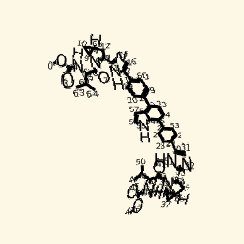 COC(=O)N[C@H](C(=O)N1C2C[C@@H]2C[C@H]1c1ncc(-c2ccc(-c3ccc(-c4ccc(-c5cnc([C@@H]6C[C@H]7C[C@H]7N6C(=O)[C@@H](NC(=O)OC)C(C)C)[nH]5)cc4)c4[nH]ccc34)cc2)[nH]1)C(C)C